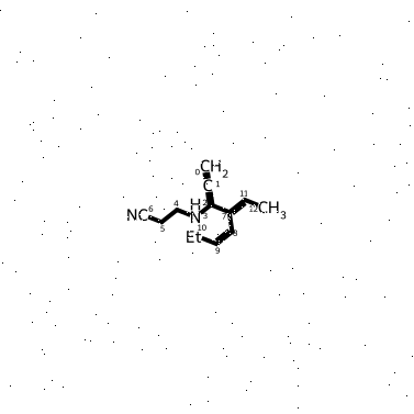 C=C=C(NCCC#N)C(/C=C\CC)=C/C